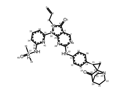 C=CCn1c(=O)c2cnc(Nc3ccc([C@H]4C[C@@]45C(=O)C4CCN5CC4)cc3)nc2n1-c1cccc(N[SH](C)(C)=O)n1